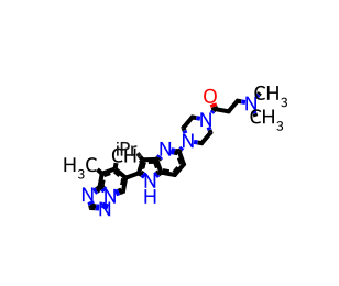 Cc1c(-c2[nH]c3ccc(N4CCN(C(=O)CCN(C)C)CC4)nc3c2C(C)C)cn2ncnc2c1C